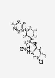 Cc1cc2c(cc1Cl)NC(=O)CC(c1cccc(-c3cccnc3)c1)=N2